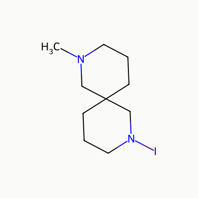 CN1CCCC2(CCCN(I)C2)C1